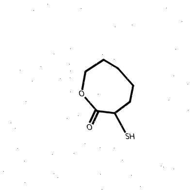 O=C1OCCCCCC1S